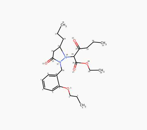 CCCOc1ccccc1CN1C(=O)CC(CCC)N1C(C(=O)CCC)C(=O)OCC